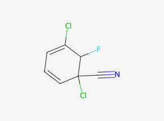 N#CC1(Cl)C=CC=C(Cl)C1F